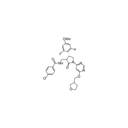 COc1cc(F)c([C@@H]2CN(c3cc(OCC4CCOC4)ncn3)C(=O)C2CNC(=O)c2ccc(Cl)cc2)c(F)c1